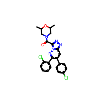 CC1CN(C(=O)c2nnc3cc(-c4ccc(Cl)cc4)c(-c4ccccc4Cl)nn23)CC(C)O1